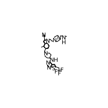 CNCN1CCN(CCn2c(C#N)cc3c(C)c(CN4CCC(Nc5ncnc6sc(CC(F)(F)F)cc56)CC4)ccc32)CC1